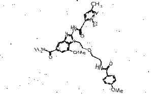 CCn1nc(C)cc1C(=O)Nc1nc2cc(C(N)=O)cc(OC)c2n1CCOCCNC(=O)c1ccc(OC)cc1